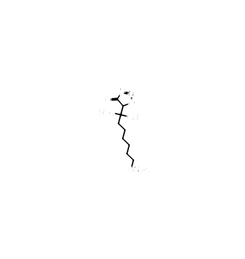 CCCCCCCCCCCCCCCC(C)(C)C1ON=NC1=O